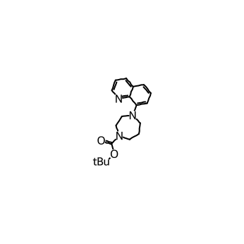 CC(C)(C)OC(=O)N1CCCN(c2cccc3cccnc23)CC1